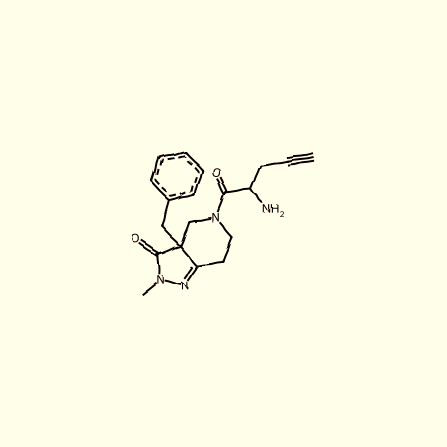 C#CCC(N)C(=O)N1CCC2=NN(C)C(=O)C2(Cc2ccccc2)C1